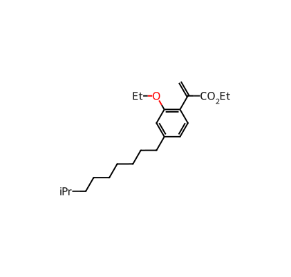 C=C(C(=O)OCC)c1ccc(CCCCCCCC(C)C)cc1OCC